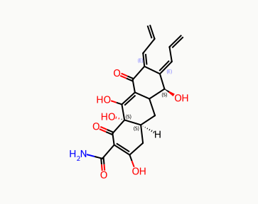 C=C/C=C1/C(=O)C2=C(O)[C@]3(O)C(=O)C(C(N)=O)=C(O)C[C@@H]3CC2[C@H](O)/C1=C/C=C